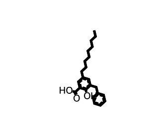 CCCCCCCCCc1cc(Cc2ccccc2)c(O)c(C(=O)O)c1